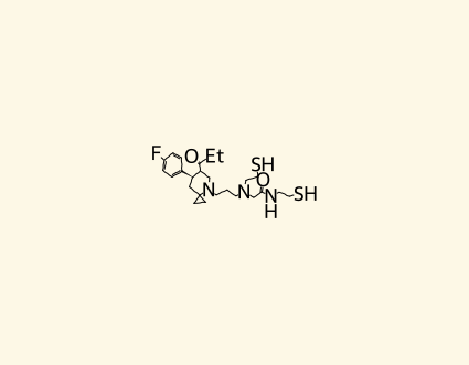 CCC(=O)C1CN(CCCN(CCS)CC(=O)NCCS)C2(CC2)C[C@H]1c1ccc(F)cc1